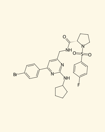 O=C(NCc1cc(-c2ccc(Br)cc2)nc(NC2CCCC2)n1)[C@@H]1CCCN1S(=O)(=O)c1ccc(F)cc1